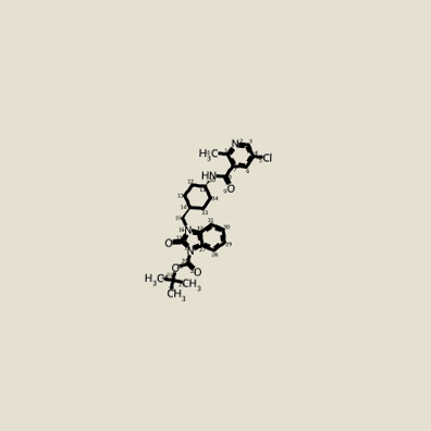 Cc1ncc(Cl)cc1C(=O)N[C@H]1CC[C@H](Cn2c(=O)n(C(=O)OC(C)(C)C)c3ccccc32)CC1